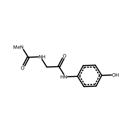 CNC(=O)NCC(=O)Nc1ccc(O)cc1